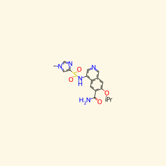 CC(C)Oc1cc2cncc(NS(=O)(=O)c3cn(C)cn3)c2cc1C(N)=O